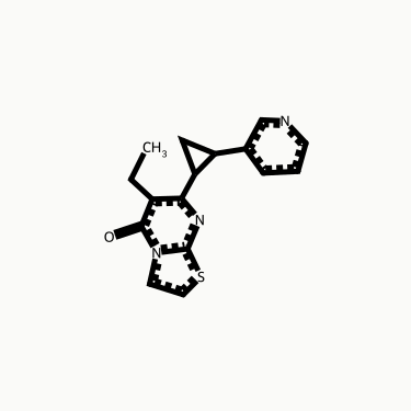 CCc1c(C2CC2c2cccnc2)nc2sccn2c1=O